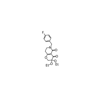 CCOC1(OCC)COC2=C(C(=O)N(Cc3ccc(F)cc3)CC2)C1=O